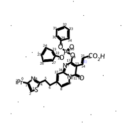 CC(C)c1csc(CCc2ccn3c(=O)c(/C=C/C(=O)O)c(OP(=O)(Oc4ccccc4)Oc4ccccc4)nc3c2)n1